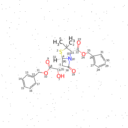 CC1(C)S[C@@H]2[C@@H](C(O)C(=O)OCc3ccccc3)C(=O)N2[C@H]1C(=O)OCc1ccccc1